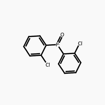 O=[P](c1ccccc1Cl)c1ccccc1Cl